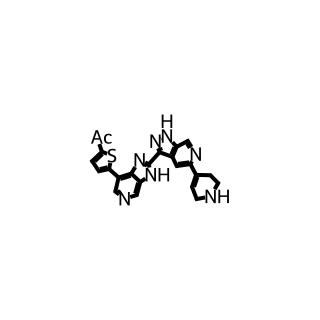 CC(=O)c1ccc(-c2cncc3[nH]c(-c4n[nH]c5cnc(C6=CCNCC6)cc45)nc23)s1